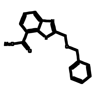 COC(=O)c1cccc2nc(COCc3ccccc3)sc12